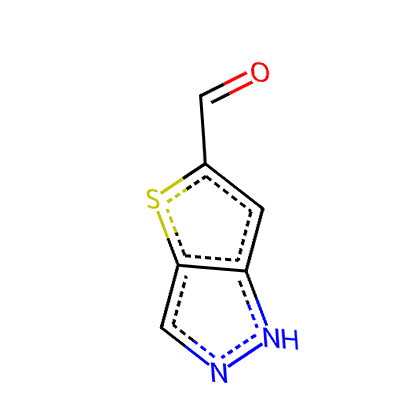 O=Cc1cc2[nH]ncc2s1